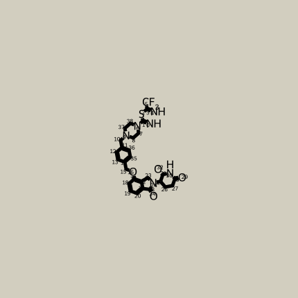 N=C(SC(=N)C(F)(F)F)N1CCN(Cc2ccc(COc3cccc4c3CN(C3CCC(=O)NC3=O)C4=O)cc2)CC1